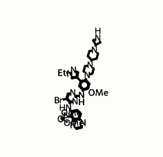 CCn1cc(-c2cc(Nc3ncc(Br)c(Nc4ccc5nccnc5c4P(=O)(OC)OC)n3)c(OC)cc2N2CCN(C3CCN(C4CNC4)CC3)CC2)cn1